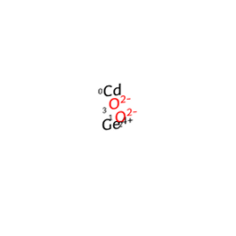 [Cd].[Ge+4].[O-2].[O-2]